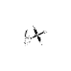 CC#N.O=S(=O)([O-])[O-].[Mg+2]